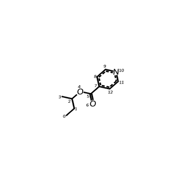 CCC(C)OC(=O)c1ccncc1